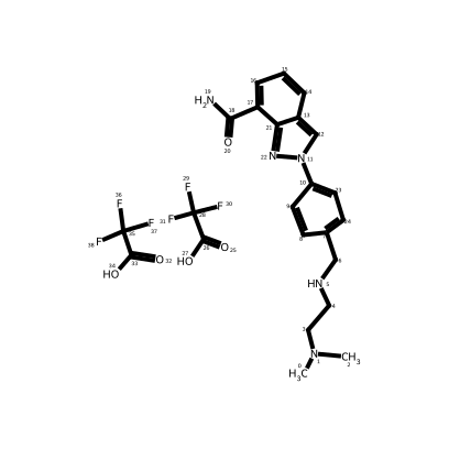 CN(C)CCNCc1ccc(-n2cc3cccc(C(N)=O)c3n2)cc1.O=C(O)C(F)(F)F.O=C(O)C(F)(F)F